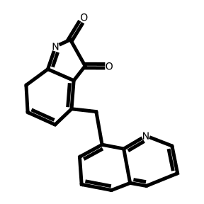 O=C1N=C2CC=CC(Cc3cccc4cccnc34)=C2C1=O